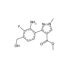 COC(=O)c1cn(C)nc1-c1ccc(CO)c(F)c1N